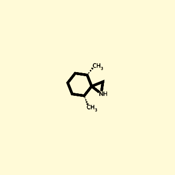 C[C@@H]1CCC[C@H](C)C12CN2